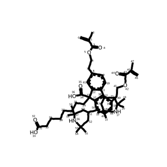 C=C(C)C(=O)OCCc1ccc(C2CC(C)(C)NC(C)(C)C2)c(C(CCCCCCCC(=O)O)(C(=O)O)c2cc(CCOC(=O)C(=C)C)ccc2C2CC(C)(C)NC(C)(C)C2)c1